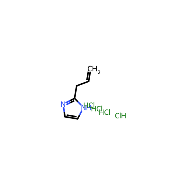 C=CCc1ncc[nH]1.Cl.Cl.Cl.Cl